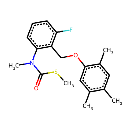 CSC(=O)N(C)c1cccc(F)c1COc1cc(C)c(C)cc1C